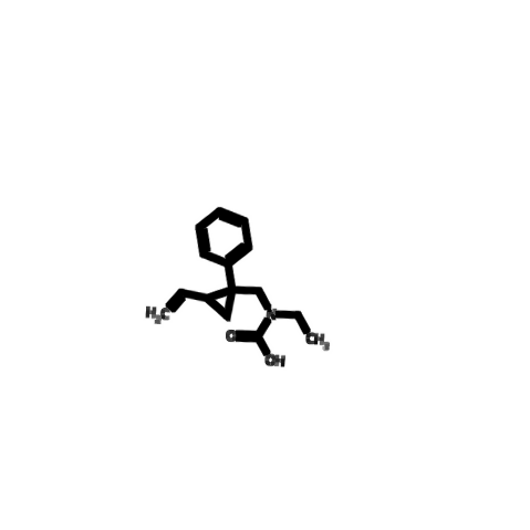 C=CC1CC1(CN(CC)C(=O)O)c1ccccc1